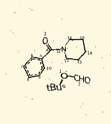 CC(C)(C)OC=O.O=C(c1ccccc1)N1CCCCC1